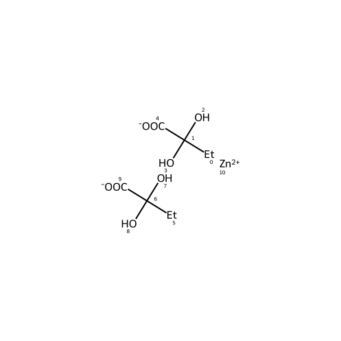 CCC(O)(O)C(=O)[O-].CCC(O)(O)C(=O)[O-].[Zn+2]